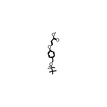 COC(=O)C=COc1ccc(CO[Si](C)(C)C(C)(C)C)cc1